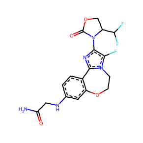 NC(=O)CNc1ccc2c(c1)OCCn1c-2nc(N2C(=O)OCC2C(F)F)c1F